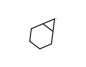 [C]1C2CCCCC12